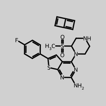 CS(=O)(=O)C1CNCCN1c1nc(N)nc2sc(-c3ccc(F)cc3)cc12.c1cc2ccc1-2